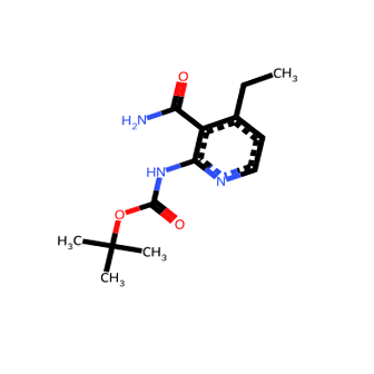 CCc1ccnc(NC(=O)OC(C)(C)C)c1C(N)=O